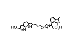 Cc1nn(C)c2c(C(C(=O)O)N3CC(OCCCCCC4CCc5cc(CO)cnc5N4)C3)cccc12